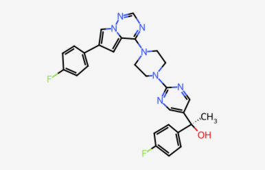 C[C@](O)(c1ccc(F)cc1)c1cnc(N2CCN(c3ncnn4cc(-c5ccc(F)cc5)cc34)CC2)nc1